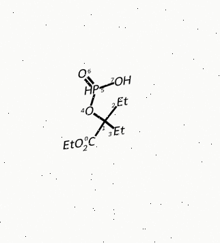 CCOC(=O)C(CC)(CC)O[PH](=O)O